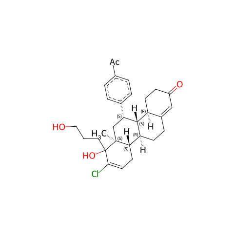 CC(=O)c1ccc([C@H]2C[C@@]3(C)[C@@H](CC=C(Cl)C3(O)CCCO)[C@@H]3CCC4=CC(=O)CC[C@@H]4[C@H]32)cc1